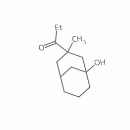 CCC(=O)C1(C)CC2CCCC(O)(C2)C1